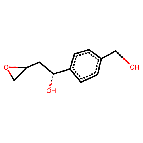 OCc1ccc([C@H](O)CC2CO2)cc1